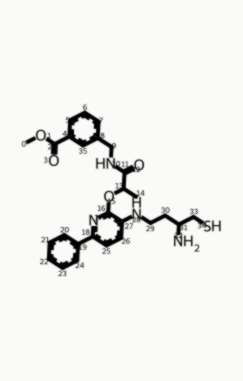 COC(=O)c1cccc(CNC(=O)C(C)Oc2nc(-c3ccccc3)ccc2NCCC(N)CS)c1